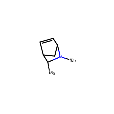 CC(C)(C)C1C2C=CC(C2)N1C(C)(C)C